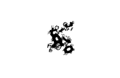 CCC(=O)NCCN1C(=O)C(C)(C)Cc2cc(C(F)(F)F)c(C(=O)N(C(C)C)C3CCCCC3)cc21